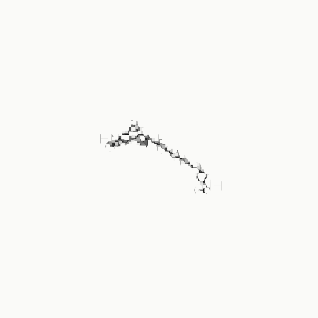 CC(=O)Nc1ccc(OCCOCCOCCOCCNc2cc(C(F)(F)F)c(-c3ccc4c(c3)CC(=O)N4)cn2)cc1